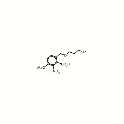 COc1ccc(COCCCC(C)=O)c(C(=O)O)c1[N+](=O)[O-]